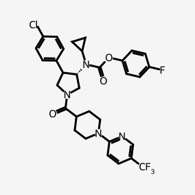 O=C(C1CCN(c2ccc(C(F)(F)F)cn2)CC1)N1CC(c2ccc(Cl)cc2)[C@H](N(C(=O)Oc2ccc(F)cc2)C2CC2)C1